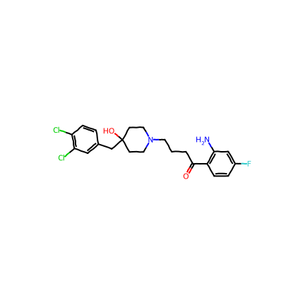 Nc1cc(F)ccc1C(=O)CCCN1CCC(O)(Cc2ccc(Cl)c(Cl)c2)CC1